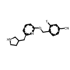 N#Cc1ccc(COc2cccc(CC3CCNC3)n2)c(F)c1